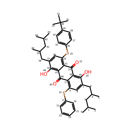 CC(C)CC(C)Cc1cc(Sc2ccccc2)c2c(c1O)C(=O)c1c(Sc3ccc(C(C)(C)C)cc3)cc(CC(C)CC(C)C)c(O)c1C2=O